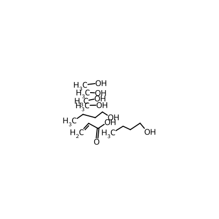 C=CC(=O)O.CCCCO.CCCCO.CO.CO.CO.CO